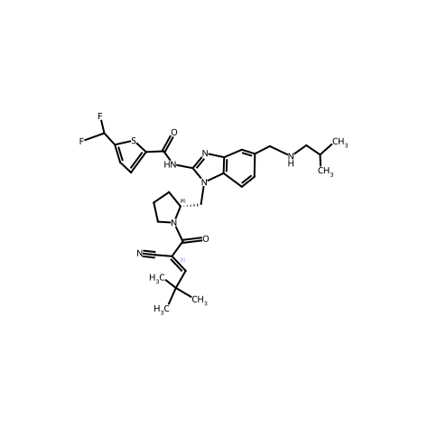 CC(C)CNCc1ccc2c(c1)nc(NC(=O)c1ccc(C(F)F)s1)n2C[C@H]1CCCN1C(=O)/C(C#N)=C/C(C)(C)C